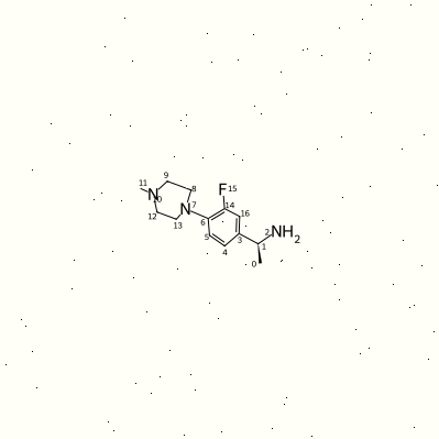 C[C@H](N)c1ccc(N2CCN(C)CC2)c(F)c1